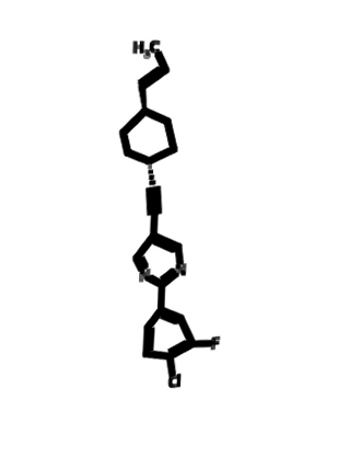 CC=C[C@H]1CC[C@H](C#Cc2cnc(-c3ccc(Cl)c(F)c3)nc2)CC1